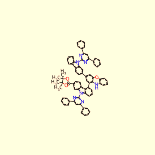 CC1(C)OB(c2ccc3c4c(-c5cc(-c6ccc7c8ccccc8n(-c8nc(-c9ccccc9)cc(-c9ccccc9)n8)c7c6)cc6c5Nc5ccccc5O6)cccc4n(-c4nc(-c5ccccc5)cc(-c5ccccc5)n4)c3c2)OC1(C)C